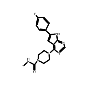 CCNC(=O)N1CCN(c2ncnc3[nH]c(-c4ccc(F)cc4)cc23)CC1